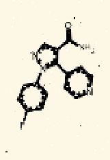 NC(=O)c1cnn(-c2ccc(F)cc2)c1-c1ccncc1